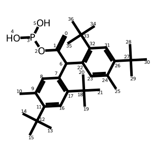 C=C(OP(O)O)C(c1cc(C)c(C(C)(C)C)cc1C(C)(C)C)c1cc(C)c(C(C)(C)C)cc1C(C)(C)C